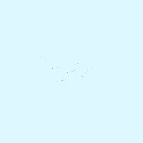 C#CCCN(C(=O)O)c1ccc([As]=O)cc1